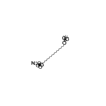 CC1(C)OB(c2ccc(CCCCCCCCCCCCCCCCCCOP(=O)([O-])OCC[N+](C)(C)C)cc2)OC1(C)C